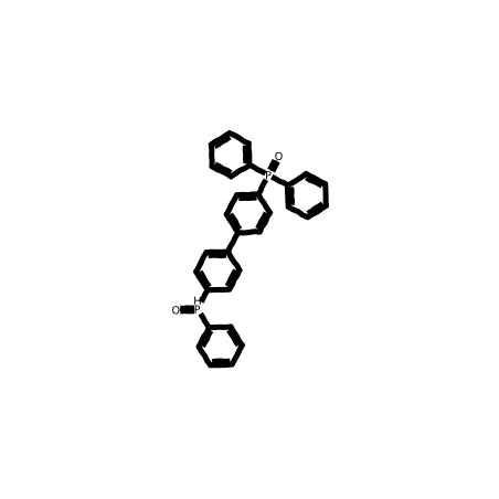 O=[PH](c1ccccc1)c1ccc(-c2ccc(P(=O)(c3ccccc3)c3ccccc3)cc2)cc1